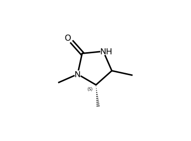 CC1NC(=O)N(C)[C@H]1C